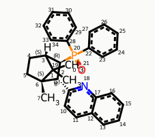 CC1(C)[C@@H]2CC[C@@]1(C)[C@@H](c1ccc3ccccc3n1)[C@@H]2P(=O)(c1ccccc1)c1ccccc1